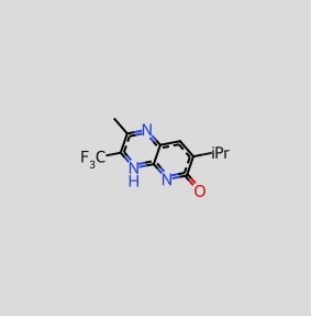 Cc1nc2cc(C(C)C)c(=O)nc-2[nH]c1C(F)(F)F